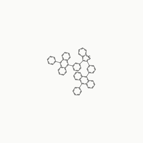 c1ccc(-c2c3ccccc3c(-c3cccc(-c4sc5ccccc5c4-c4cccc(-c5c6ccccc6c(-c6ccccc6)c6ccccc56)c4)c3)c3ccccc23)cc1